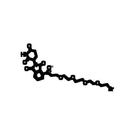 O=C1CCC(N2C(=O)c3cccc([S+]([O-])CCOCCOCCOCCOCCBr)c3C2=O)C(=O)N1